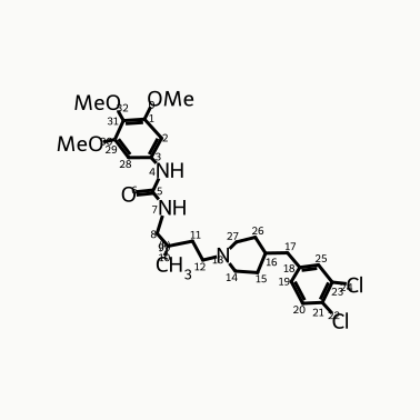 COc1cc(NC(=O)NC[C@H](C)CCN2CCC(Cc3ccc(Cl)c(Cl)c3)CC2)cc(OC)c1OC